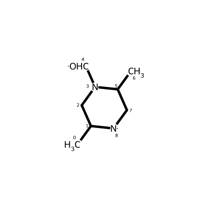 CC1CN([C]=O)C(C)C[N]1